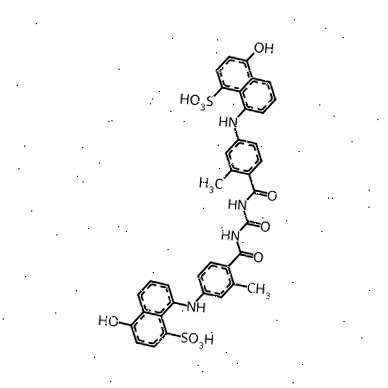 Cc1cc(Nc2cccc3c(O)ccc(S(=O)(=O)O)c23)ccc1C(=O)NC(=O)NC(=O)c1ccc(Nc2cccc3c(O)ccc(S(=O)(=O)O)c23)cc1C